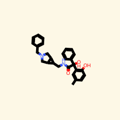 Cc1ccc(O)c(C(O)(C(=O)NCC2C3CN(Cc4ccccc4)CC23)c2ccccc2)c1